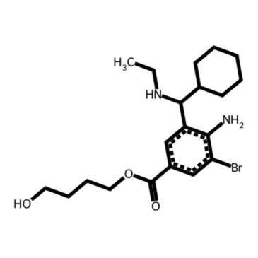 CCNC(c1cc(C(=O)OCCCCO)cc(Br)c1N)C1CCCCC1